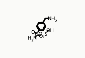 NCc1ccc(S(N)(=O)=O)cc1.O=S(=O)(O)O